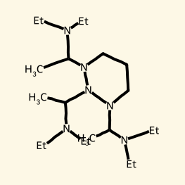 CCN(CC)C(C)N1CCCN(C(C)N(CC)CC)N1C(C)N(CC)CC